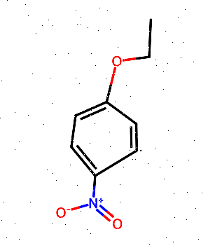 CCOc1c[c]c([N+](=O)[O-])cc1